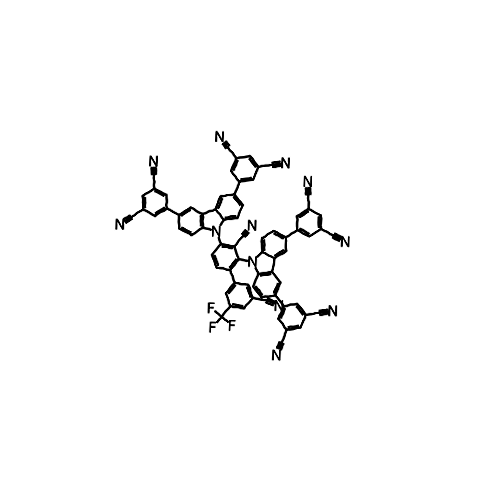 N#Cc1cc(C#N)cc(-c2ccc3c(c2)c2cc(-c4cc(C#N)cc(C#N)c4)ccc2n3-c2ccc(-c3cc(C#N)cc(C(F)(F)F)c3)c(-n3c4ccc(-c5cc(C#N)cc(C#N)c5)cc4c4cc(-c5cc(C#N)cc(C#N)c5)ccc43)c2C#N)c1